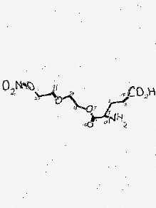 NC(CCC(=O)O)C(=O)OCCOCCO[N+](=O)[O-]